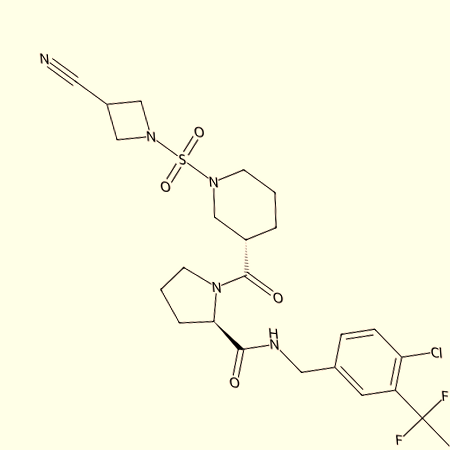 CC(F)(F)c1cc(CNC(=O)[C@H]2CCCN2C(=O)[C@H]2CCCN(S(=O)(=O)N3CC(C#N)C3)C2)ccc1Cl